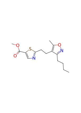 CCCCc1noc(C)c1CCc1ncc(C(=O)OC)s1